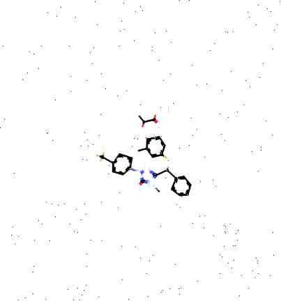 Cc1cc(SC(c2ccccc2)c2nn(-c3ccc(C(F)(F)F)cc3)c(=O)n2C)ccc1OC(C)C(=O)O